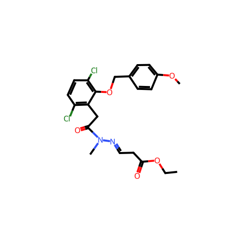 CCOC(=O)CC=NN(C)C(=O)Cc1c(Cl)ccc(Cl)c1OCc1ccc(OC)cc1